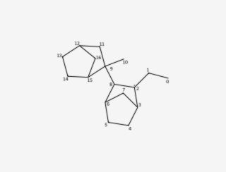 CC[C]1C2CCC(C2)C1C1(C)CC2CCC1C2